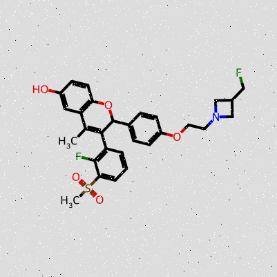 CC1=C(c2cccc(S(C)(=O)=O)c2F)C(c2ccc(OCCN3CC(CF)C3)cc2)Oc2ccc(O)cc21